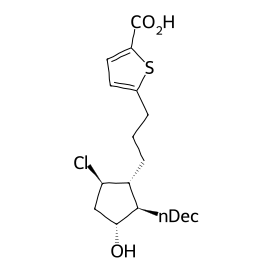 CCCCCCCCCC[C@@H]1[C@@H](CCCc2ccc(C(=O)O)s2)[C@H](Cl)C[C@H]1O